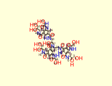 CN(CC(O)CO)C(=O)c1c(I)c(NC(=O)CO)c(I)c(C(=O)NCCN(CC(O)CNC(=O)c2c(I)c(NC(=O)CO)c(I)c(C(=O)N(C)CC(O)CO)c2I)C(=O)c2c(I)c(NC(=O)CO)c(I)c(C(=O)N(C)CC(O)CO)c2I)c1I